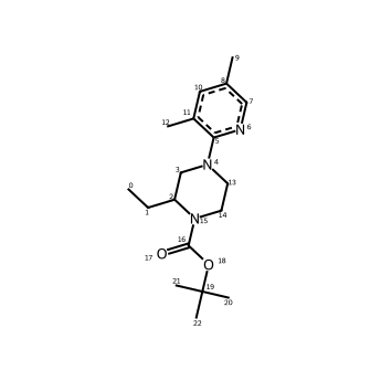 CCC1CN(c2ncc(C)cc2C)CCN1C(=O)OC(C)(C)C